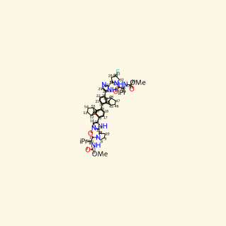 COC(=O)N[C@H](C(=O)N1CCC[C@H]1c1ncc(-c2ccc(-c3ccc(-c4cnc([C@@H]5C[C@H](F)CN5C(=O)[C@@H](NC(=O)OC)C(C)C)[nH]4)c4c3C3CCC4C3)c3c2C2CCC3C2)[nH]1)C(C)C